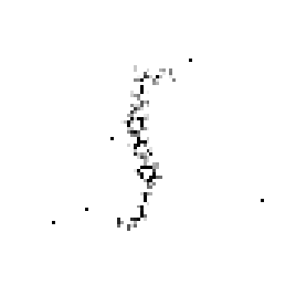 CCCCCOc1ccc(-c2ncc(-c3ccc(OC(=O)CCCC(C)CC)cc3)cn2)cc1